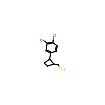 SCC1CCC1c1ccc(Cl)c(Cl)c1